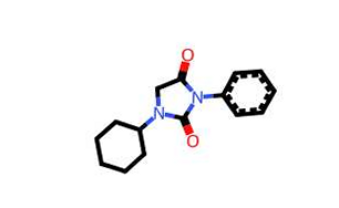 O=C1CN(C2CCCCC2)C(=O)N1c1ccccc1